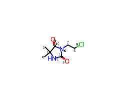 CC1(C)NC(=O)N(CCCl)C1=O